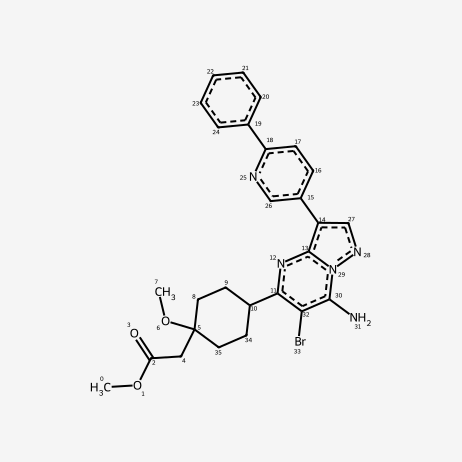 COC(=O)CC1(OC)CCC(c2nc3c(-c4ccc(-c5ccccc5)nc4)cnn3c(N)c2Br)CC1